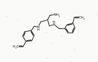 C=Cc1ccc(CNCC(CN)CNCc2cccc(C=C)c2)cc1